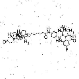 Cn1ncnc1[C@H]1c2n[nH]c(=O)c3cc(F)cc(c23)N[C@@H]1c1ccc(NC(=O)CCCCCO[C@H]2CC[C@H]3[C@@H]4CC[C@H]5CC(=O)CC[C@]5(C)[C@H]4CC[C@]23C)cc1